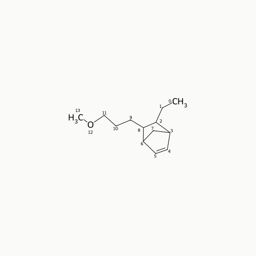 CCC1C2C=CC(C2)C1CCCOC